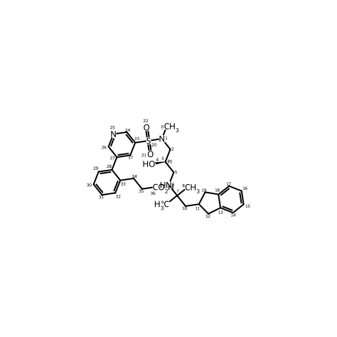 CN(C[C@H](O)CNC(C)(C)CC1Cc2ccccc2C1)S(=O)(=O)c1cncc(-c2ccccc2CCC(=O)O)c1